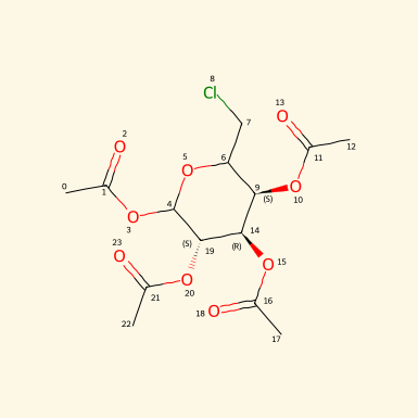 CC(=O)OC1OC(CCl)[C@@H](OC(C)=O)[C@@H](OC(C)=O)[C@@H]1OC(C)=O